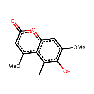 COc1cc2oc(=O)cc(OC)c2c(C)c1O